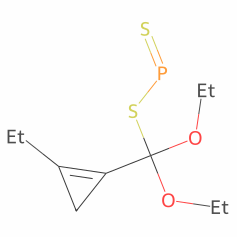 CCOC(OCC)(SP=S)C1=C(CC)C1